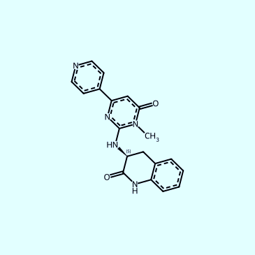 Cn1c(N[C@H]2Cc3ccccc3NC2=O)nc(-c2ccncc2)cc1=O